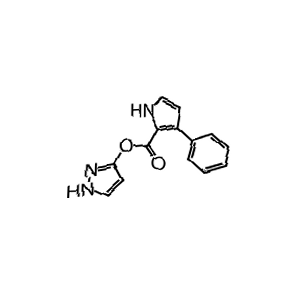 O=C(Oc1cc[nH]n1)c1[nH]ccc1-c1ccccc1